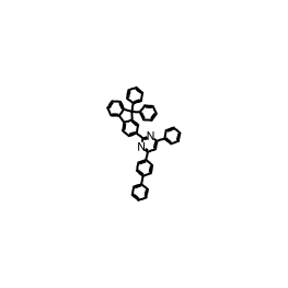 c1ccc(-c2ccc(-c3cc(-c4ccccc4)nc(-c4ccc5c(c4)C(c4ccccc4)(c4ccccc4)c4ccccc4-5)n3)cc2)cc1